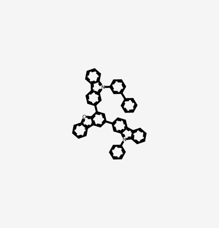 c1ccc(-c2cccc(-n3c4ccccc4c4ccc(-c5cc(-c6ccc7c8ccccc8n(-c8ccccc8)c7c6)cc6c5oc5ccccc56)cc43)c2)cc1